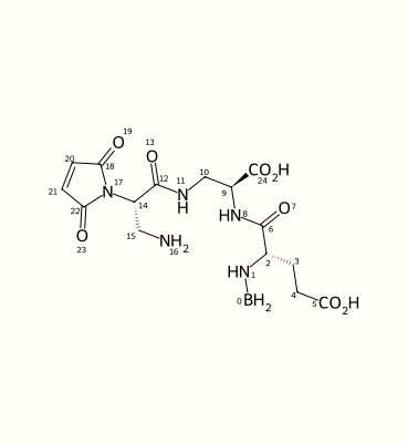 BN[C@@H](CCC(=O)O)C(=O)N[C@@H](CNC(=O)[C@H](CN)N1C(=O)C=CC1=O)C(=O)O